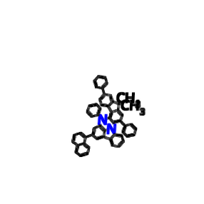 CC1(C)c2cc(-c3ccccc3)ccc2-c2c1cc(-c1ccccc1)c1c2N(c2ccccc2)c2cc(-c3cccc4ccccc34)cc3c4ccccc4n-1c23